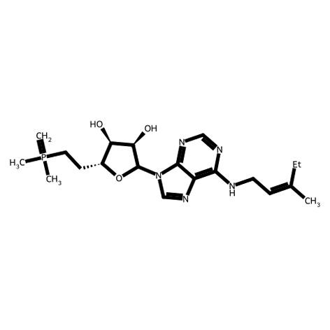 C=P(C)(C)CC[C@H]1OC(n2cnc3c(NC/C=C(/C)CC)ncnc32)[C@H](O)[C@@H]1O